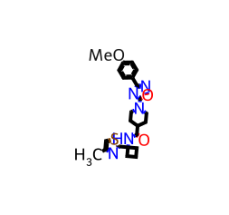 COc1ccc(-c2noc(N3CCC(C(=O)NC4(c5nc(C)cs5)CCC4)CC3)n2)cc1